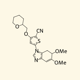 COC1=Cc2ncn(-c3cc(OCC4CCCCO4)c(C#N)s3)c2CC1OC